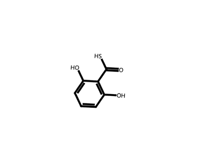 O=C(S)c1c(O)cccc1O